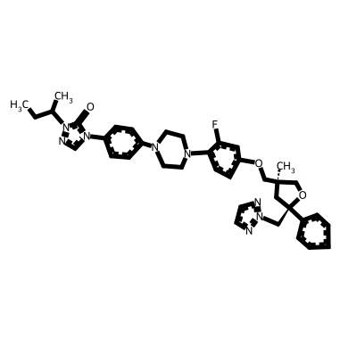 CCC(C)n1ncn(-c2ccc(N3CCN(c4ccc(OC[C@@]5(C)CO[C@](Cn6nccn6)(c6ccccc6)C5)cc4F)CC3)cc2)c1=O